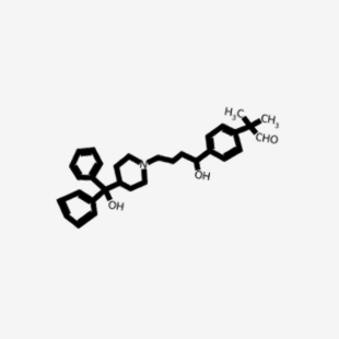 CC(C)(C=O)c1ccc(C(O)CCCN2CCC(C(O)(c3ccccc3)c3ccccc3)CC2)cc1